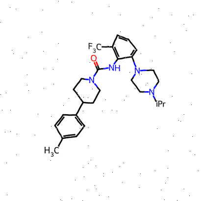 Cc1ccc(C2CCN(C(=O)Nc3c(N4CCN(C(C)C)CC4)cccc3C(F)(F)F)CC2)cc1